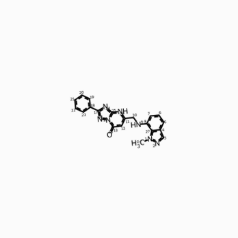 Cn1ncc2cccc(NCc3cc(=O)n4nc(-c5ccccc5)nc4[nH]3)c21